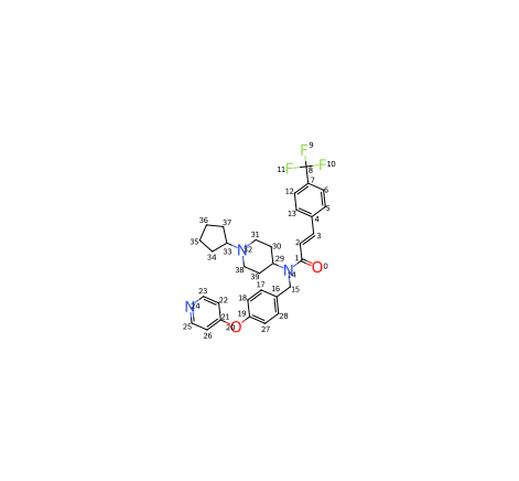 O=C(C=Cc1ccc(C(F)(F)F)cc1)N(Cc1ccc(Oc2ccncc2)cc1)C1CCN(C2CCCC2)CC1